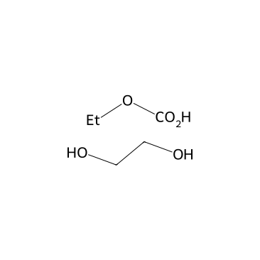 CCOC(=O)O.OCCO